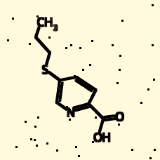 CCCSc1ccc(C(=O)O)nc1